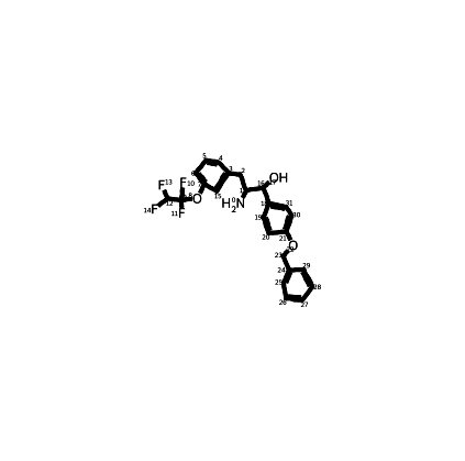 NC(Cc1cccc(OC(F)(F)C(F)F)c1)C(O)c1ccc(OCc2ccccc2)cc1